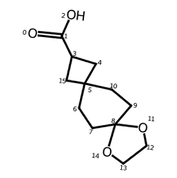 O=C(O)C1CC2(CCC3(CC2)OCCO3)C1